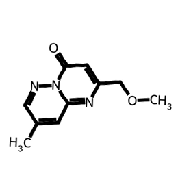 COCc1cc(=O)n2ncc(C)cc2n1